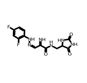 N=C(/C=N\Nc1ccc(F)cc1F)C(=O)NCC1NC(=O)NC1=O